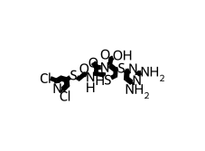 Nc1cc(SC2=C(C(=O)O)N3C(=O)[C@@H](NC(=O)CSc4cc(Cl)nc(Cl)c4)[C@H]3SC2)nc(N)n1